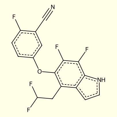 N#Cc1cc(Oc2c(F)c(F)c3[nH]ccc3c2CC(F)F)ccc1F